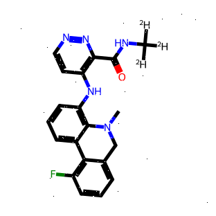 [2H]C([2H])([2H])NC(=O)c1nnccc1Nc1cccc2c1N(C)Cc1cccc(F)c1-2